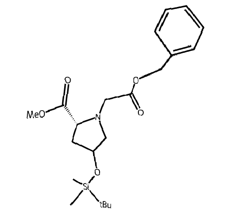 COC(=O)[C@H]1CC(O[Si](C)(C)C(C)(C)C)CN1CC(=O)OCc1ccccc1